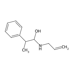 C=CCNC(O)C(C)c1ccccc1